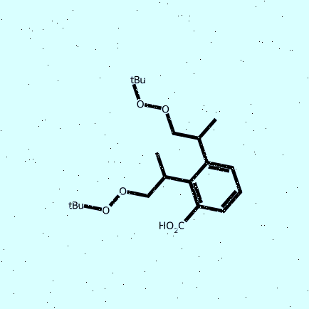 CC(COOC(C)(C)C)c1cccc(C(=O)O)c1C(C)COOC(C)(C)C